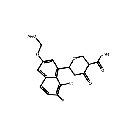 CCc1c(F)ccc2cc(OCOC)cc(C3CC(=O)C(C(=O)OC)CO3)c12